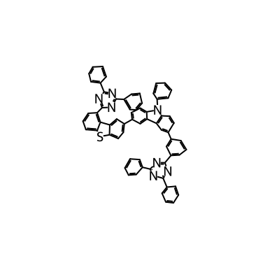 c1ccc(-c2nc(-c3ccccc3)nc(-c3cccc(-c4ccc5c(c4)c4cc(-c6ccc7sc8cccc(-c9nc(-c%10ccccc%10)nc(-c%10ccccc%10)n9)c8c7c6)ccc4n5-c4ccccc4)c3)n2)cc1